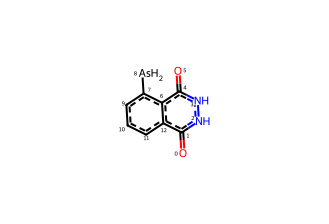 O=c1[nH][nH]c(=O)c2c([AsH2])cccc12